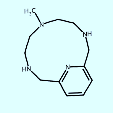 CN1CCNCc2cccc(n2)CNCC1